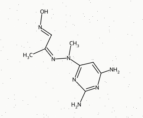 CC(C=NO)=NN(C)c1cc(N)nc(N)n1